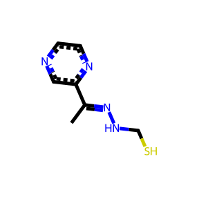 CC(=NNCS)c1cnccn1